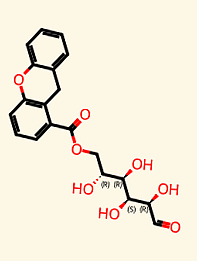 O=C[C@H](O)[C@@H](O)[C@H](O)[C@H](O)COC(=O)c1cccc2c1Cc1ccccc1O2